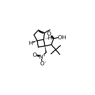 CC1=CC[C@H]2C[C@@](C[N+](=O)[O-])(C(C(=O)O)C(C)(C)C)[C@H]12